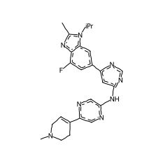 Cc1nc2c(F)cc(-c3cc(Nc4cnc(C5=CCN(C)CC5)cn4)ncn3)cc2n1C(C)C